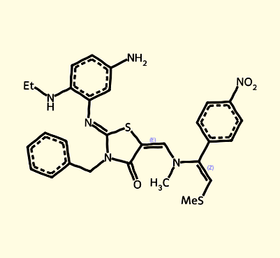 CCNc1ccc(N)cc1N=C1S/C(=C/N(C)/C(=C\SC)c2ccc([N+](=O)[O-])cc2)C(=O)N1Cc1ccccc1